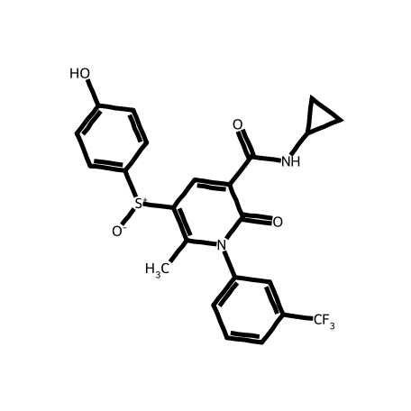 Cc1c([S+]([O-])c2ccc(O)cc2)cc(C(=O)NC2CC2)c(=O)n1-c1cccc(C(F)(F)F)c1